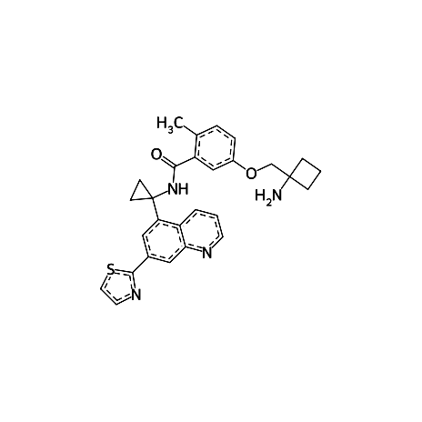 Cc1ccc(OCC2(N)CCC2)cc1C(=O)NC1(c2cc(-c3nccs3)cc3ncccc23)CC1